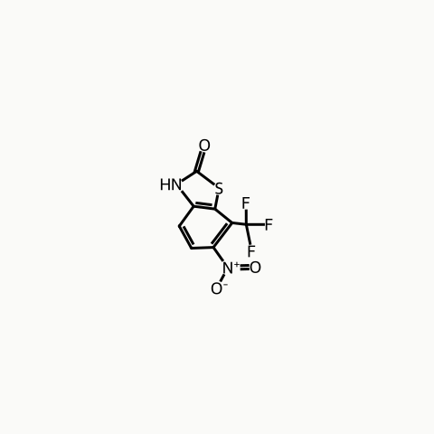 O=c1[nH]c2ccc([N+](=O)[O-])c(C(F)(F)F)c2s1